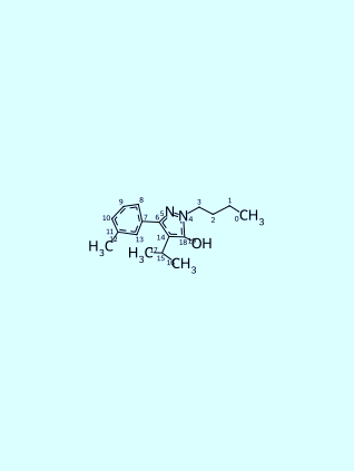 CCCCn1nc(-c2cccc(C)c2)c(C(C)C)c1O